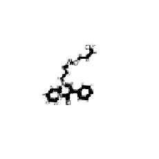 O=c1c(-c2ccccc2)cn(CC/C=N\OC/C=C\Cl)c2cccc[n+]12